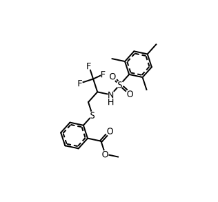 COC(=O)c1ccccc1SCC(NS(=O)(=O)c1c(C)cc(C)cc1C)C(F)(F)F